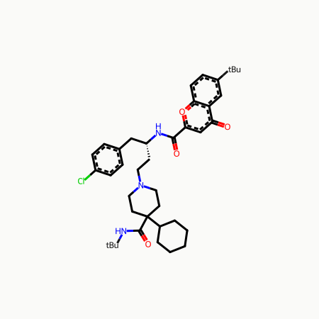 CC(C)(C)NC(=O)C1(C2CCCCC2)CCN(CC[C@H](Cc2ccc(Cl)cc2)NC(=O)c2cc(=O)c3cc(C(C)(C)C)ccc3o2)CC1